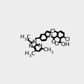 CCc1nc2c(C)cc(C)nc2n1Cc1ccc2c(ccn2C(=O)c2c(Cl)ccc(Cl)c2C(=O)O)c1